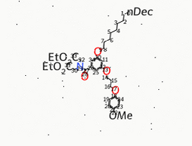 CCCCCCCCCCCCCCCCCCOc1cc(OCCCOc2ccc(OC)cc2)cc(C(=O)N(CC(=O)OCC)CC(=O)OCC)c1